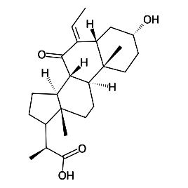 C/C=C1/C(=O)[C@@H]2[C@H](CC[C@]3(C)C([C@H](C)C(=O)O)CC[C@@H]23)[C@@]2(C)CC[C@@H](O)C[C@@H]12